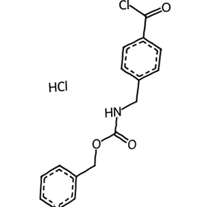 Cl.O=C(NCc1ccc(C(=O)Cl)cc1)OCc1cccnc1